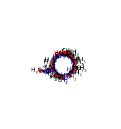 CCCC[C@@H](C)[C@@H](O)[C@H]1C(=O)N[C@@H](CC)C(=O)N(C)[C@H](C)C(=O)N(C)C([C@@H](C)CN2CCN(CCOC)CC2)C(=O)N[C@@H](C(C)C)C(=O)N(C)[C@@H](CC(C)C)C(=O)N[C@@H](C)C(=O)N[C@H](C)C(=O)N(C)[C@@H](CC(C)C)C(=O)N(C)[C@@H](CC(C)C)C(=O)N(C)[C@@H](C(C)C)C(=O)N1C